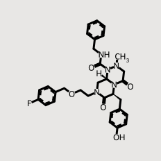 CN1CC(=O)N2[C@@H](Cc3ccc(O)cc3)C(=O)N(CCOCc3ccc(F)cc3)C[C@@H]2N1C(=O)NCc1ccccc1